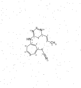 CC=CC1CC(NC2=CC(CC#N)=CC=CC2)=NC=N1